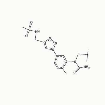 Cc1ccc(-n2cc(CNS(C)(=O)=O)nn2)cc1N(CC(C)C)C(N)=S